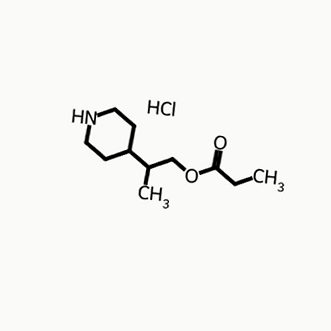 CCC(=O)OCC(C)C1CCNCC1.Cl